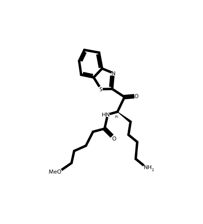 COCCCCC(=O)N[C@H](CCCCN)C(=O)c1nc2ccccc2s1